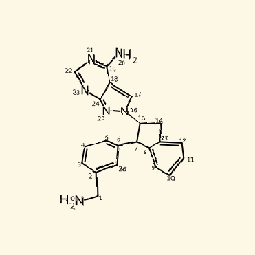 NCc1cccc(C2c3ccccc3CC2n2cc3c(N)ncnc3n2)c1